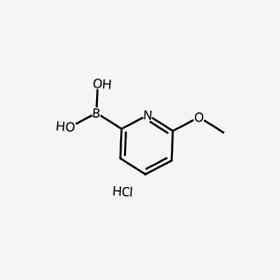 COc1cccc(B(O)O)n1.Cl